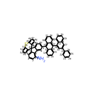 Nc1cccc2c1-c1cc(-c3c4ccccc4c(-c4cc(-c5ccccc5)cc5ccccc45)c4ccccc34)ccc1C21c2ccccc2Sc2ccccc21